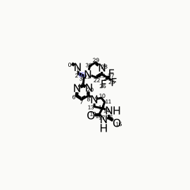 C=N/C=C(/c1nccc(N2CCC3(C2)NC(=O)NC3=O)n1)N1C=C(C(F)(F)F)N=CC1